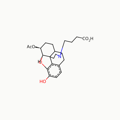 CC(=O)O[C@H]1CCC2C3Cc4ccc(O)c5c4C2(CCN3CCCC(=O)O)[C@H]1O5